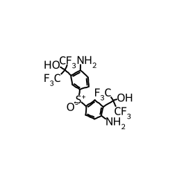 Nc1ccc([S+]([O-])c2ccc(N)c(C(O)(C(F)(F)F)C(F)(F)F)c2)cc1C(O)(C(F)(F)F)C(F)(F)F